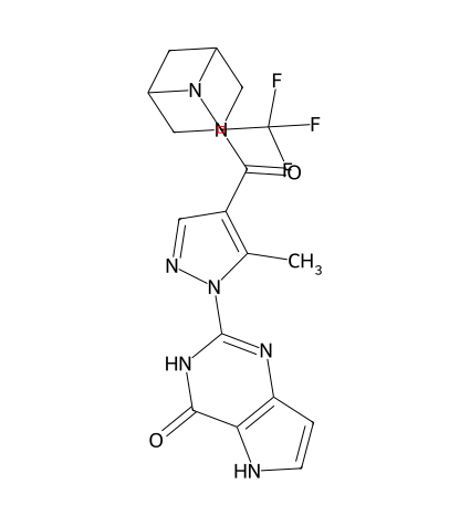 Cc1c(C(=O)N2CC3CC(C2)N3CC(F)(F)F)cnn1-c1nc2cc[nH]c2c(=O)[nH]1